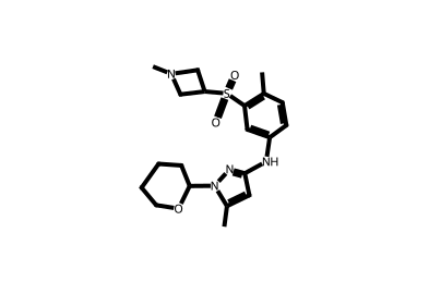 Cc1ccc(Nc2cc(C)n(C3CCCCO3)n2)cc1S(=O)(=O)C1CN(C)C1